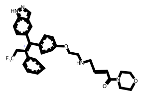 O=C(C=CCNCCOc1ccc(/C(=C(/CC(F)(F)F)c2ccccc2)c2ccc3[nH]ncc3c2)cc1)N1CCOCC1